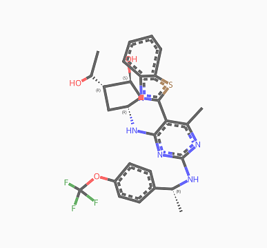 Cc1nc(N[C@H](C)c2ccc(OC(F)(F)F)cc2)nc(N[C@@H]2C[C@H](C(C)O)[C@@H](O)C2)c1-c1nc2ccccc2s1